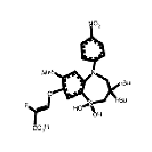 CCCCC1(CCCC)CN(c2ccc([N+](=O)[O-])cc2)c2cc(SC)c(O/C=C(\F)C(=O)O)cc2S(O)(O)C1